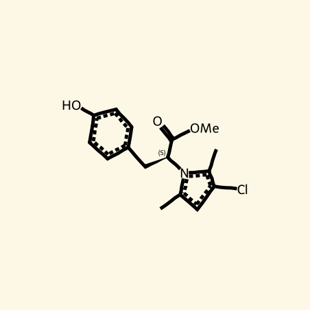 COC(=O)[C@H](Cc1ccc(O)cc1)n1c(C)cc(Cl)c1C